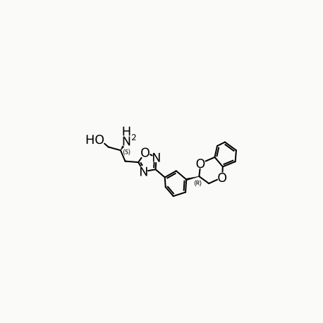 N[C@H](CO)Cc1nc(-c2cccc([C@@H]3COc4ccccc4O3)c2)no1